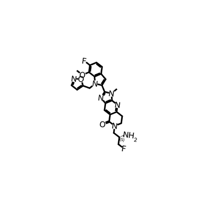 COc1c(F)ccc2cc(-c3nc4cc5c(nc4n3C)CCN(C[C@H](N)CF)C5=O)n(Cc3ccno3)c12